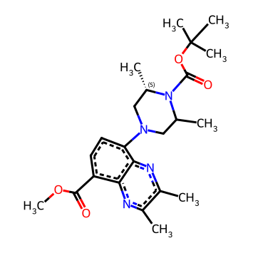 COC(=O)c1ccc(N2CC(C)N(C(=O)OC(C)(C)C)[C@@H](C)C2)c2nc(C)c(C)nc12